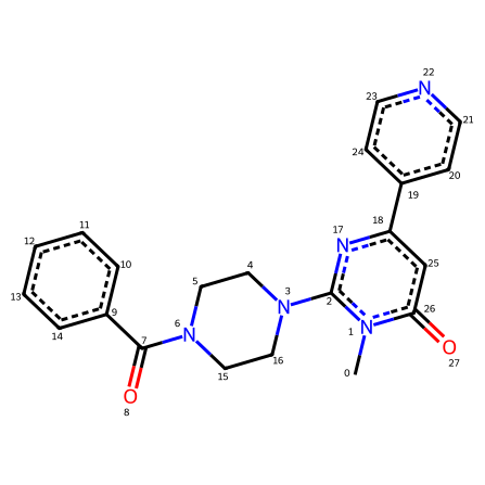 Cn1c(N2CCN(C(=O)c3ccccc3)CC2)nc(-c2ccncc2)cc1=O